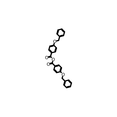 O=C(OC(=O)c1ccc(OCc2ccccc2)cc1)c1ccc(OCc2ccccc2)cc1